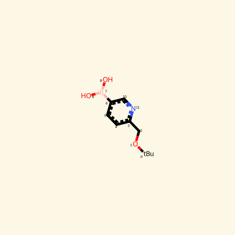 CC(C)(C)OCc1ccc(B(O)O)cn1